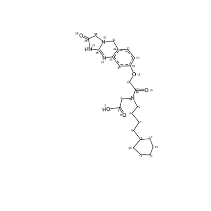 O=C(O)CN(CCCCC1CCCCC1)C(=O)COc1ccc2c(c1)N=C1NC(=O)CN1C2